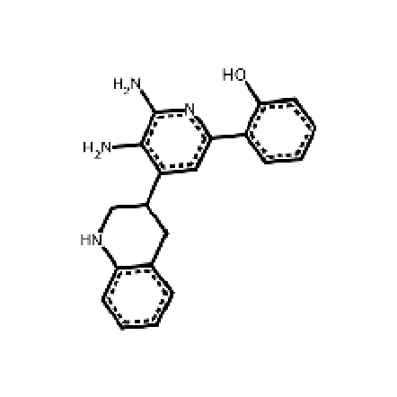 Nc1nc(-c2ccccc2O)cc(C2CNc3ccccc3C2)c1N